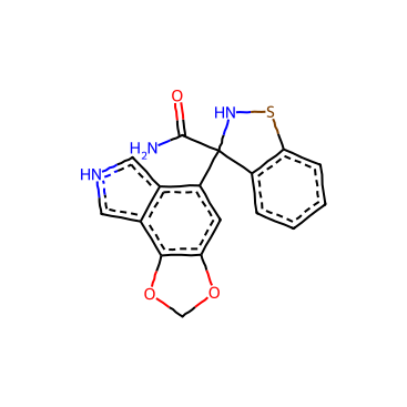 NC(=O)C1(c2cc3c(c4c[nH]cc24)OCO3)NSc2ccccc21